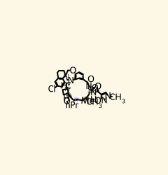 CCCO[C@H]1/C=C/C[C@H](C)C[S@@](=O)(NC(=O)c2cn(C)nc2OC)=NC(=O)c2ccc3c(c2)N(C[C@@H]2CC[C@H]21)C[C@@]1(CCCc2cc(Cl)ccc21)CO3